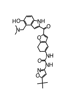 CN(C)Cc1c(O)ccc2[nH]c(C(=O)c3cc4c(o3)CCC(NC(=O)Nc3cc(C(C)(C)C)on3)=C4)cc12